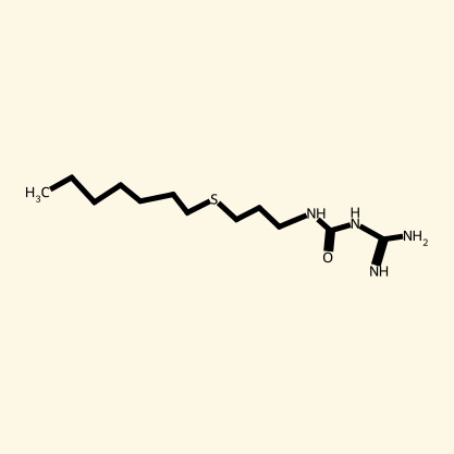 CCCCCCCSCCCNC(=O)NC(=N)N